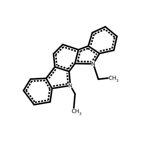 CCn1c2ccccc2c2ccc3c4ccccc4n(CC)c3c21